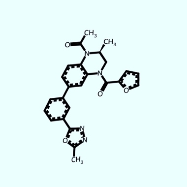 CC(=O)N1c2ccc(-c3cccc(-c4nnc(C)o4)c3)cc2N(C(=O)c2ccco2)C[C@@H]1C